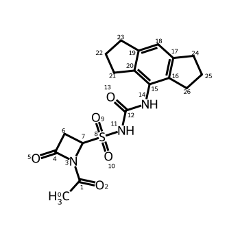 CC(=O)N1C(=O)CC1S(=O)(=O)NC(=O)Nc1c2c(cc3c1CCC3)CCC2